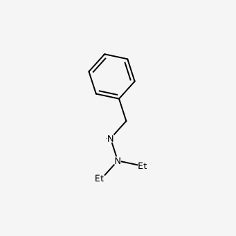 CCN(CC)[N]Cc1ccccc1